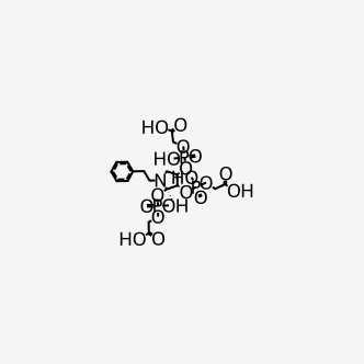 C[C@@]1(OP(=O)(O)OCC(=O)O)[C@@H](OP(=O)(O)OCC(=O)O)[C@H](OP(=O)(O)OCC(=O)O)CN1CCc1ccccc1